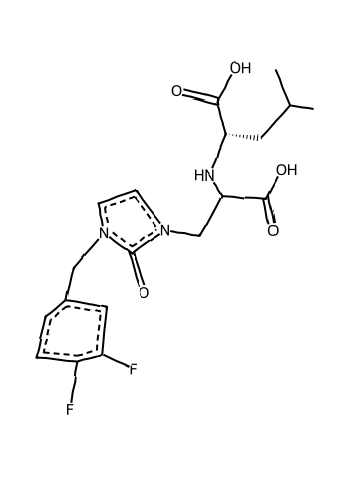 CC(C)C[C@H](NC(Cn1ccn(Cc2ccc(F)c(F)c2)c1=O)C(=O)O)C(=O)O